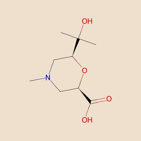 CN1C[C@@H](C(C)(C)O)O[C@@H](C(=O)O)C1